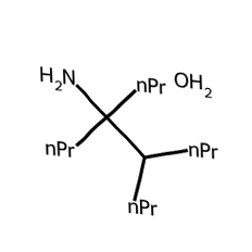 CCCC(CCC)C(N)(CCC)CCC.O